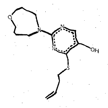 C=CCSc1nc(N2CCOCC2)ncc1O